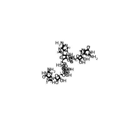 C[n+]1cn([C@@H]2O[C@H](COP(=O)(O)OP(=O)(O)O[P@](=O)(S)OC[C@H]3O[C@@H](n4cnc5c(N)ncnc54)[C@@H](O)C3OP(=O)(O)OC[C@H]3O[C@@H](n4cnc5c(=O)[nH]c(N)nc54)[C@@H](O)C3O)C(O)[C@@H]2O)c2nc(N)[nH]c(=O)c21